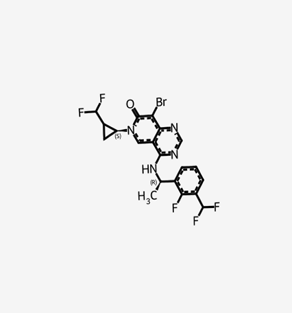 C[C@@H](Nc1ncnc2c(Br)c(=O)n([C@H]3CC3C(F)F)cc12)c1cccc(C(F)F)c1F